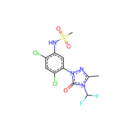 Cc1nn(-c2cc(NS(C)(=O)=O)c(Cl)cc2Cl)c(=O)n1C(F)F